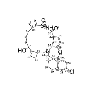 CC1[C@H](C)CCCC(O)C2CCC2CN2CC3(CCCc4cc(Cl)ccc43)COc3ccc(cc32)C(=O)N[S+]1[O-]